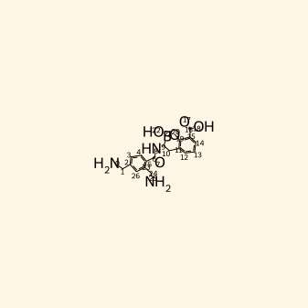 NCc1ccc(C(=O)N[C@H]2Cc3cccc(C(=O)O)c3OB2O)c(CN)c1